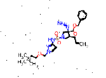 C=CCC1CN(S(=O)(=O)Nc2ccn(COCC[Si](C)(C)C)n2)CC1(N=[N+]=[N-])C(=O)OCc1ccccc1